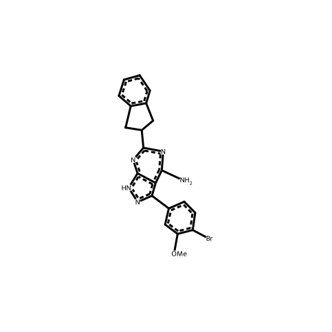 COc1cc(-c2n[nH]c3nc(C4Cc5ccccc5C4)nc(N)c23)ccc1Br